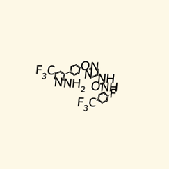 Nc1ncc(C(F)(F)F)cc1-c1ccc(Oc2ncc(NC(=O)Nc3cc(C(F)(F)F)ccc3F)cn2)cc1